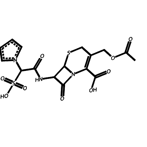 CC(=O)OCC1=C(C(=O)O)N2C(=O)C(NC(=O)C(n3cccc3)S(=O)(=O)O)C2SC1